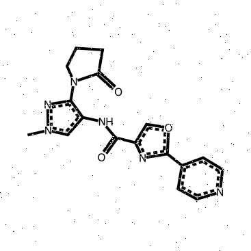 Cn1cc(NC(=O)c2coc(-c3c[c]ncc3)n2)c(N2CCCC2=O)n1